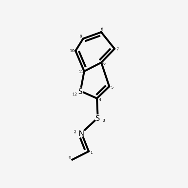 CC=NSc1cc2ccccc2s1